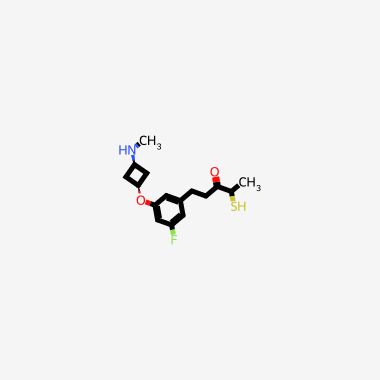 CN[C@H]1C[C@H](Oc2cc(F)cc(CCC(=O)C(C)S)c2)C1